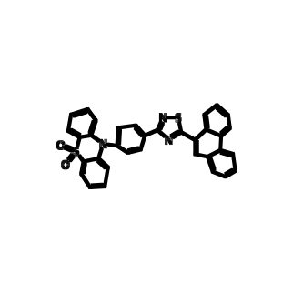 O=S1(=O)c2ccccc2N(c2ccc(-c3nsc(-c4cc5ccccc5c5ccccc45)n3)cc2)c2ccccc21